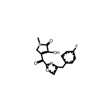 CN1CC(C(=O)c2nc(Cc3ccc(F)cc3)co2)=C(O)C1=O